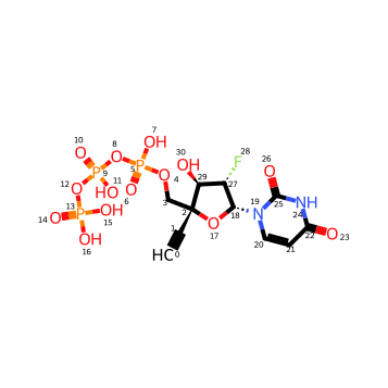 C#C[C@]1(COP(=O)(O)OP(=O)(O)OP(=O)(O)O)O[C@@H](n2ccc(=O)[nH]c2=O)[C@@H](F)[C@@H]1O